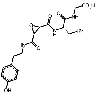 CC(C)C[C@H](NC(=O)C1O[C@@H]1C(=O)NCCc1ccc(O)cc1)C(=O)NCC(=O)O